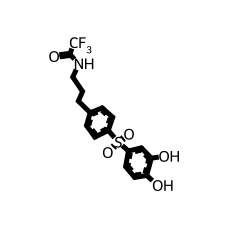 O=C(NCCCc1ccc(S(=O)(=O)c2ccc(O)c(O)c2)cc1)C(F)(F)F